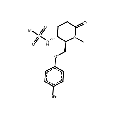 CCS(=O)(=O)N[C@@H]1CCC(=O)N(C)[C@H]1COc1ccc(C(C)C)cc1